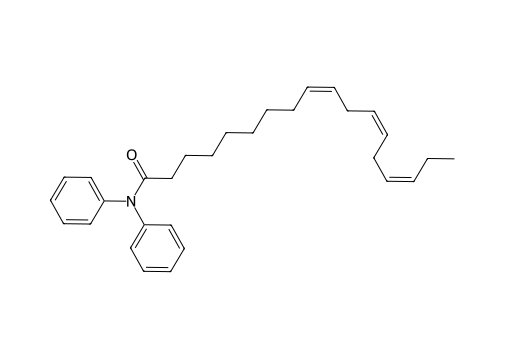 CC/C=C\C/C=C\C/C=C\CCCCCCCC(=O)N(c1ccccc1)c1ccccc1